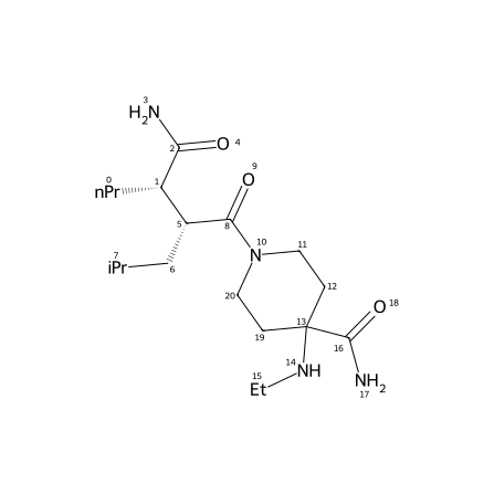 CCC[C@H](C(N)=O)[C@@H](CC(C)C)C(=O)N1CCC(NCC)(C(N)=O)CC1